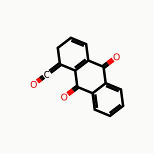 O=C=C1CC=CC2=C1C(=O)c1ccccc1C2=O